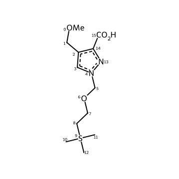 COCc1cn(COCCS(C)(C)C)nc1C(=O)O